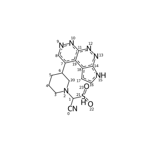 N#CC(N1CCCC(c2cnnc3nnc4[nH]ccc4c23)C1)[SH](=O)=O